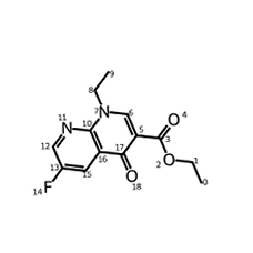 CCOC(=O)c1cn(CC)c2ncc(F)cc2c1=O